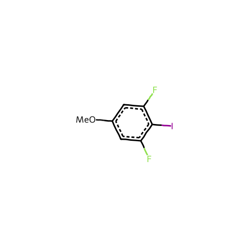 COc1cc(F)c(I)c(F)c1